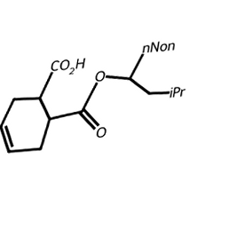 CCCCCCCCCC(CC(C)C)OC(=O)C1CC=CCC1C(=O)O